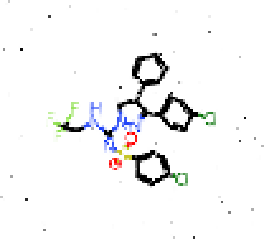 O=S(=O)(/N=C(/NCC(F)(F)F)N1CC(c2ccccc2)C(c2ccc(Cl)cc2)=N1)c1ccc(Cl)cc1